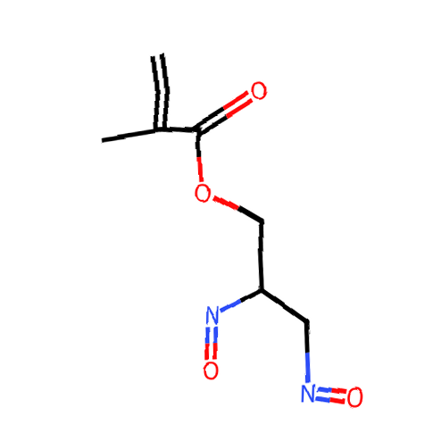 C=C(C)C(=O)OCC(CN=O)N=O